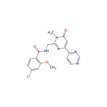 COc1cc(Cl)ccc1C(=O)NCc1nc(-c2ccncn2)cc(=O)n1C